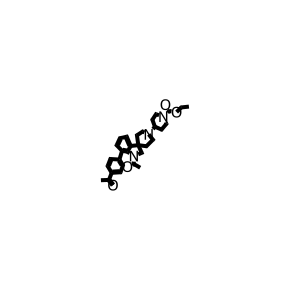 CCOC(=O)N1CCC(N2CCC3(CC2)CN(C(C)=O)c2c(-c4ccc(C(C)=O)cc4)cccc23)CC1